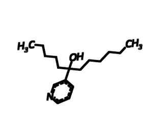 CCCCCCC(O)(CCCCC)c1cccnc1